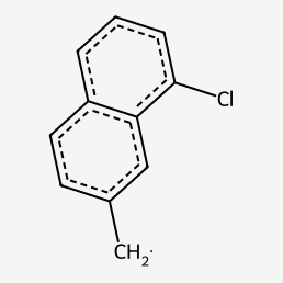 [CH2]c1ccc2cccc(Cl)c2c1